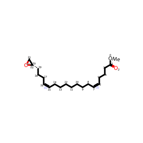 COC(=O)CCC/C=C\CCCCCCC/C=C\CCC[C@H]1CO1